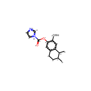 COc1cc2c(cc1OC(=O)n1ccnc1)CCC(C)C2C